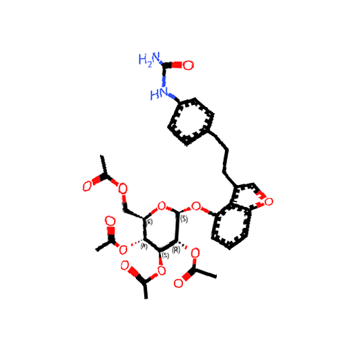 CC(=O)OC[C@H]1O[C@@H](Oc2cccc3occ(CCc4ccc(NC(N)=O)cc4)c23)[C@H](OC(C)=O)[C@@H](OC(C)=O)[C@@H]1OC(C)=O